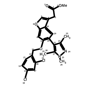 COC(=O)Cc1coc2cc(OCc3ccc(Cl)cc3Cl)c(-c3c(C)nn(C)c3C)cc12